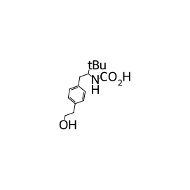 CC(C)(C)C(Cc1ccc(CCO)cc1)NC(=O)O